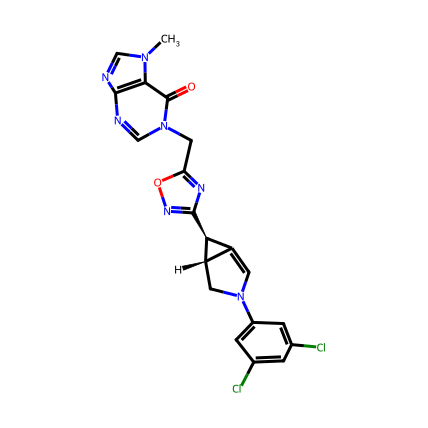 Cn1cnc2ncn(Cc3nc([C@H]4C5=CN(c6cc(Cl)cc(Cl)c6)C[C@@H]54)no3)c(=O)c21